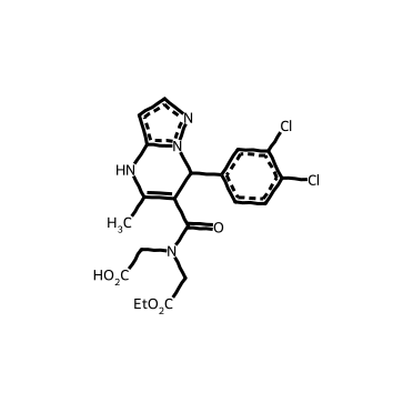 CCOC(=O)CN(CC(=O)O)C(=O)C1=C(C)Nc2ccnn2C1c1ccc(Cl)c(Cl)c1